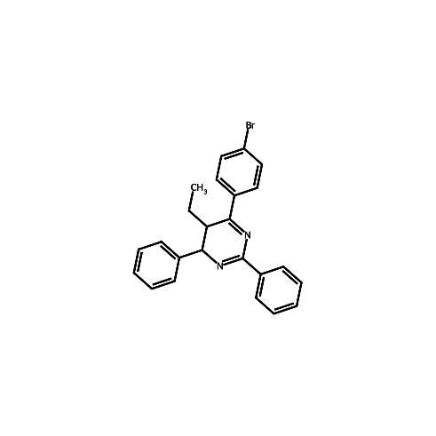 CCC1C(c2ccc(Br)cc2)=NC(c2ccccc2)=NC1c1ccccc1